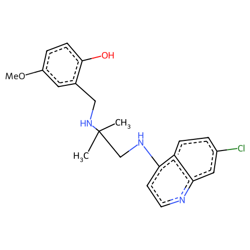 COc1ccc(O)c(CNC(C)(C)CNc2ccnc3cc(Cl)ccc23)c1